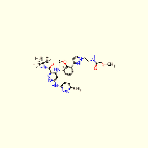 BC(B)(B)NC(=O)c1nnc(Nc2ccc(C)nn2)cc1Nc1cccc(-c2ccn(CCNC(=O)COC)n2)c1OC